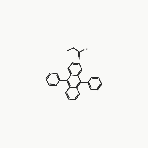 CCC(=O)O.c1ccc(-c2c3ccccc3c(-c3ccccc3)c3ccccc23)cc1